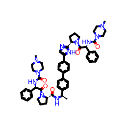 C[C@@H](NC(=O)[C@@H]1CCCN1C(=O)[C@H](NC(=O)N1CCN(C)CC1)c1ccccc1)c1ccc(-c2ccc(-c3cnc([C@@H]4CCCN4C(=O)[C@H](NC(=O)N4CCN(C)CC4)c4ccccc4)[nH]3)cc2)cc1